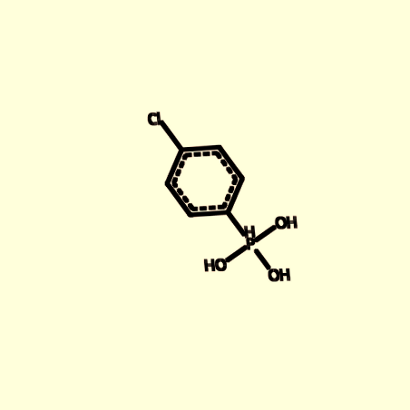 O[PH](O)(O)c1ccc(Cl)cc1